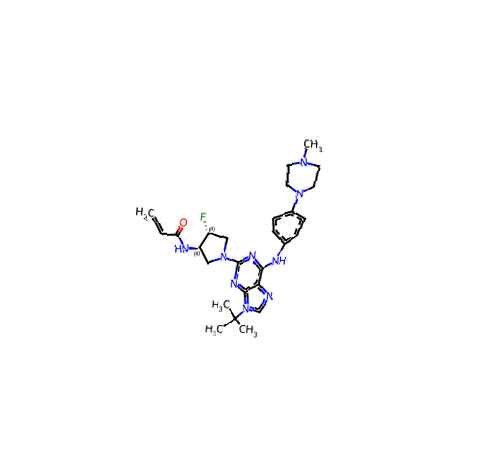 C=CC(=O)N[C@@H]1CN(c2nc(Nc3ccc(N4CCN(C)CC4)cc3)c3ncn(C(C)(C)C)c3n2)C[C@H]1F